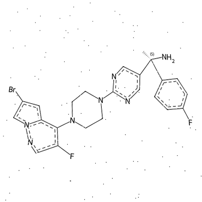 C[C@](N)(c1ccc(F)cc1)c1cnc(N2CCN(c3c(F)cnn4cc(Br)cc34)CC2)nc1